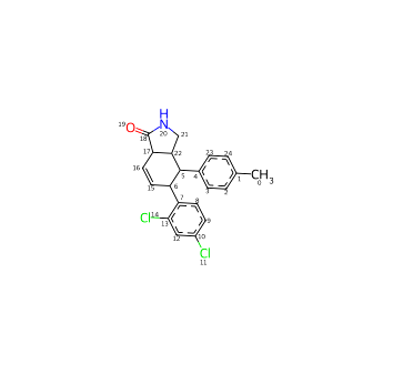 Cc1ccc(C2C(c3ccc(Cl)cc3Cl)C=CC3C(=O)NCC32)cc1